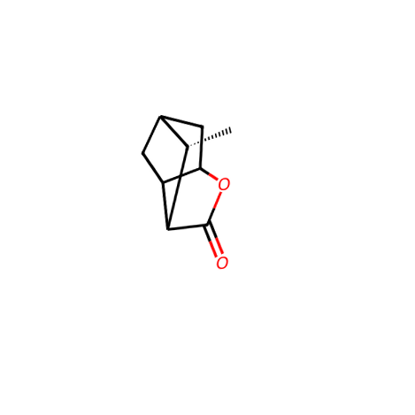 C[C@H]1C2CC3OC(=O)C1C3C2